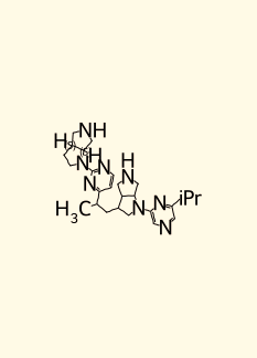 CC(C)c1cncc(N2CC(CC(C)c3ccnc(N4CC[C@H]5CNC[C@H]54)n3)C3CNCC32)n1